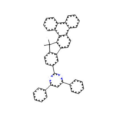 CC1(C)c2ccc(-c3nc(-c4ccccc4)cc(-c4ccccc4)n3)cc2-c2ccc3c4ccccc4c4ccccc4c3c21